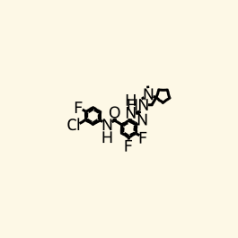 CN(C)C1(CNc2nc3c(F)c(F)cc(C(=O)Nc4ccc(F)c(Cl)c4)c3[nH]2)CCCC1